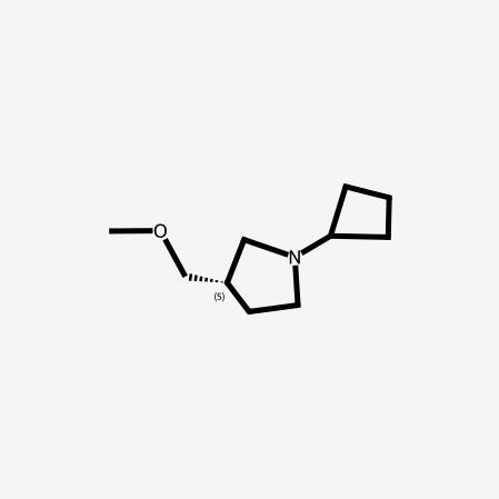 COC[C@H]1CCN(C2CCC2)C1